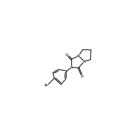 O=c1n(-c2ccc(Br)cc2)c(=O)n2n1CCC2